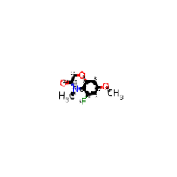 COc1cc(F)c2c(c1)OCC(=O)N2C